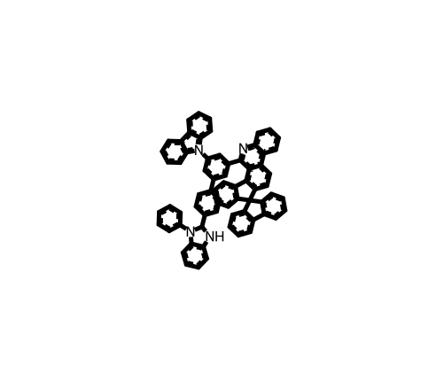 c1ccc(N2c3ccccc3NC2c2ccc(-c3cc(-c4nc5ccccc5c5ccc6c(c45)-c4ccccc4C64c5ccccc5-c5ccccc54)cc(-n4c5ccccc5c5ccccc54)c3)cc2)cc1